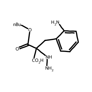 CCCCOC(=O)C(Cc1ccccc1N)(NN)C(=O)O